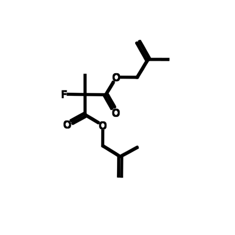 C=C(C)COC(=O)C(C)(F)C(=O)OCC(=C)C